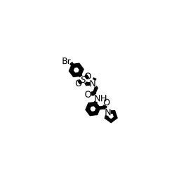 CN(CC(=O)Nc1ccccc1C(=O)N1CCCC1)CS(=O)(=O)c1ccc(Br)cc1